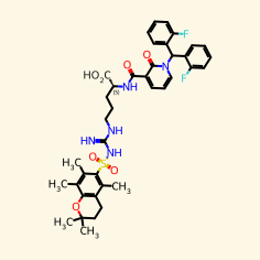 Cc1c(C)c(S(=O)(=O)NC(=N)NCCC[C@H](NC(=O)c2cccn(C(c3ccccc3F)c3ccccc3F)c2=O)C(=O)O)c(C)c2c1OC(C)(C)CC2